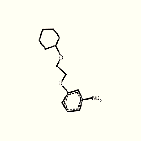 O=[N+]([O-])c1cccc(OCCOC2CCCCC2)c1